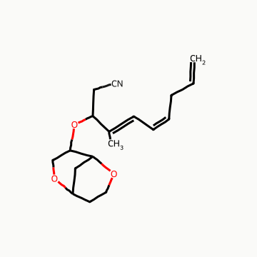 C=CC/C=C\C=C(/C)C(CC#N)OC1COC2CCOC1C2